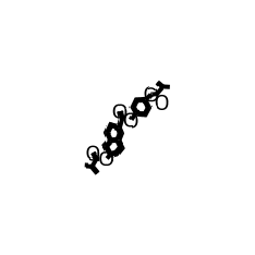 C=C(C)C(=O)Oc1ccc(OC(=O)c2ccc3cc(OC(=O)C(=C)C)ccc3c2)cc1